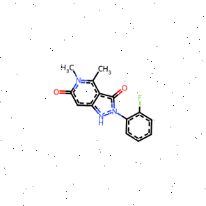 Cc1c2c(=O)n(-c3ccccc3F)[nH]c2cc(=O)n1C